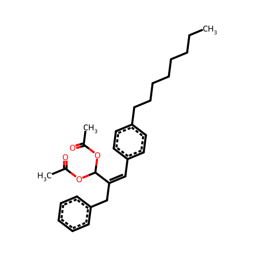 CCCCCCCCc1ccc(C=C(Cc2ccccc2)C(OC(C)=O)OC(C)=O)cc1